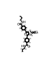 CCCNC(=O)c1ccc(-c2ccc(-c3ccc(C(=O)NCCC)cc3)o2)cc1.CN(C)C.Cl.Cl